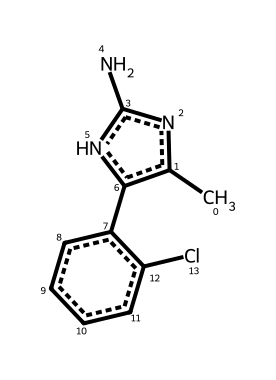 Cc1nc(N)[nH]c1-c1ccccc1Cl